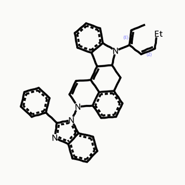 C/C=C(\C=C/CC)N1c2ccccc2C2=C3C=CN(n4c(-c5ccccc5)nc5ccccc54)c4cccc(c43)CC21